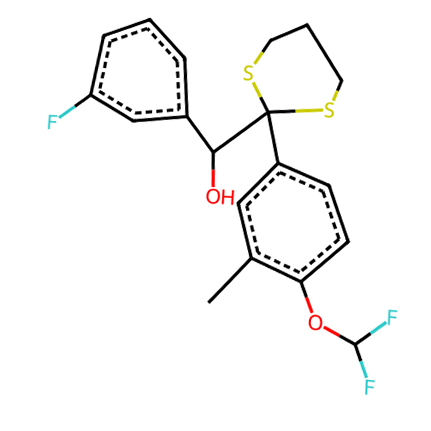 Cc1cc(C2(C(O)c3cccc(F)c3)SCCCS2)ccc1OC(F)F